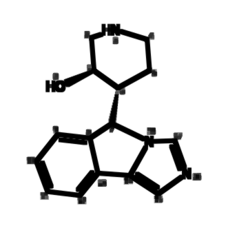 O[C@H]1CNCC[C@@H]1C1c2ccccc2-c2cncn21